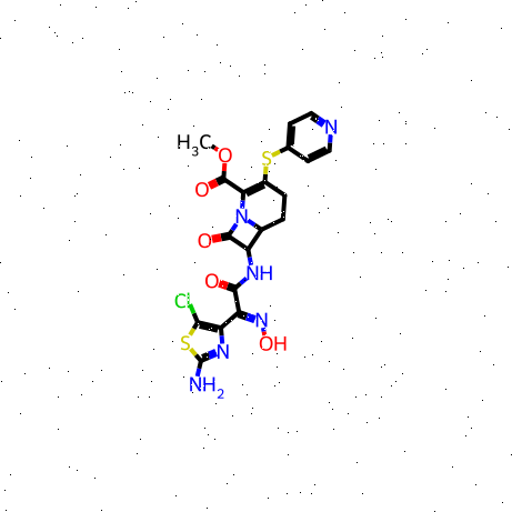 COC(=O)C1=C(Sc2ccncc2)CCC2C(NC(=O)C(=NO)c3nc(N)sc3Cl)C(=O)N12